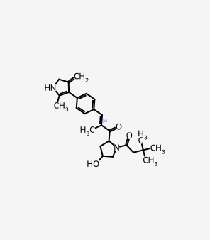 C=C1CNC(C)=C1c1ccc(/C=C(\C)C(=O)C2CC(O)CN2C(=O)CC(C)(C)C)cc1